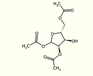 CC(=O)OC[C@H]1OC(OC(C)=O)[C@H](OC(C)=O)[C@@H]1O